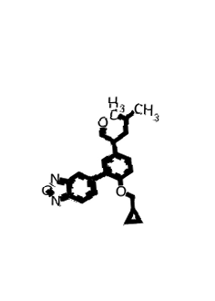 CC(C)CC(C=O)c1ccc(OCC2CC2)c(-c2ccc3nonc3c2)c1